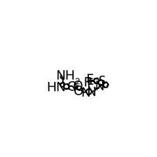 NCCc1c[nH]c2ccc(OCC(=O)OCCN3CCN(CCCN4c5ccccc5Sc5ccc(C(F)(F)F)cc54)CC3)cc12